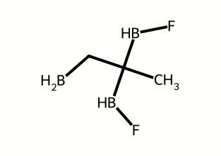 BCC(C)(BF)BF